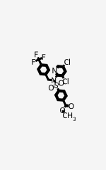 COC(=O)c1ccc(S(=O)(=O)N(Cc2ccc(C(F)(F)F)cc2)c2ncc(Cl)cc2Cl)cc1